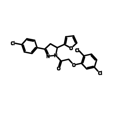 O=C(COc1cc(Cl)ccc1Cl)N1N=C(c2ccc(Cl)cc2)CC1c1ccco1